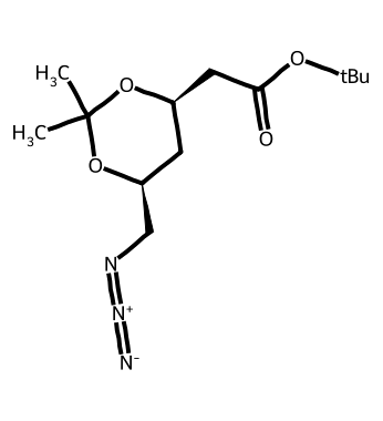 CC(C)(C)OC(=O)C[C@H]1C[C@@H](CN=[N+]=[N-])OC(C)(C)O1